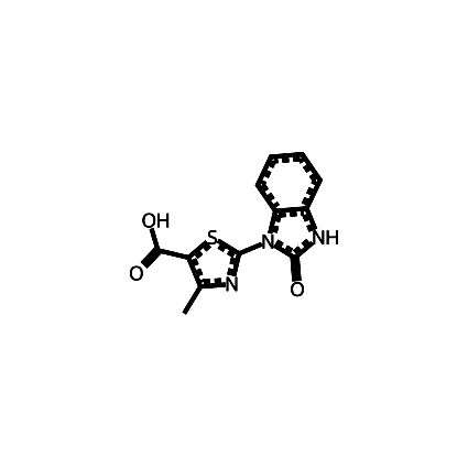 Cc1nc(-n2c(=O)[nH]c3ccccc32)sc1C(=O)O